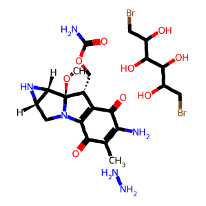 CO[C@@]12[C@H](COC(N)=O)C3=C(C(=O)C(C)=C(N)C3=O)N1C[C@@H]1N[C@@H]12.NN.OC(CBr)C(O)C(O)C(O)CBr